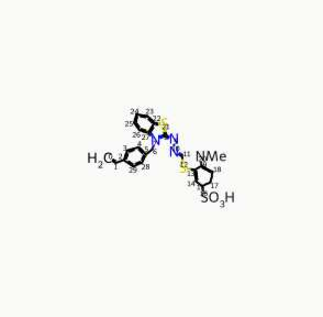 C=Cc1ccc(Cn2c(=NN=CSC3=CC(S(=O)(=O)O)CC=C3NC)sc3ccccc32)cc1